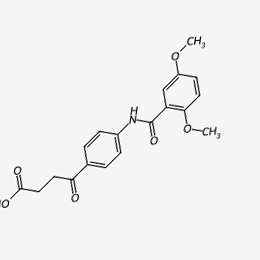 COc1ccc(OC)c(C(=O)Nc2ccc(C(=O)CCC(=O)O)cc2)c1